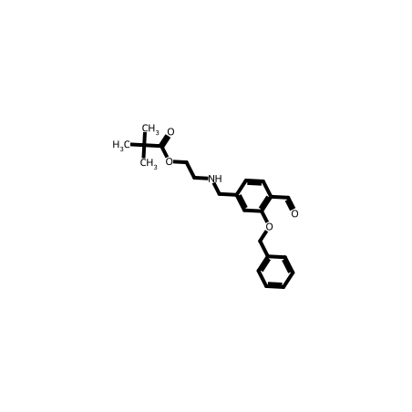 CC(C)(C)C(=O)OCCNCc1ccc(C=O)c(OCc2ccccc2)c1